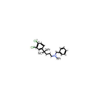 CC(C)N(CCCC(C#N)(c1ccc(Cl)c(Cl)c1)C(C)C)Cc1ccccc1